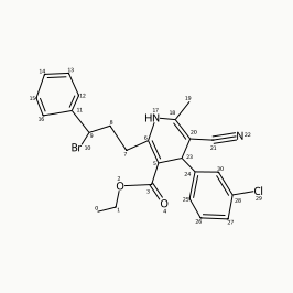 CCOC(=O)C1=C(CCC(Br)c2ccccc2)NC(C)=C(C#N)C1c1cccc(Cl)c1